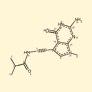 CC(C)C(=O)NC#Cc1cn(C)c2nc(N)[nH]c(=O)c12